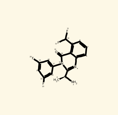 C[C@H](N)c1nc2cccc(C(F)F)c2c(=O)n1-c1cc(F)cc(F)c1